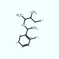 CC(OC(C)C(C)CI)C1=C(F)C=CCC1